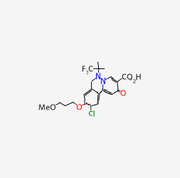 COCCCOc1cc2c(cc1Cl)-c1cc(=O)c(C(=O)O)cn1N(C(C)(C)C(F)(F)F)C2